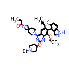 C=CC(=O)N1CC2(CCN(c3nc(OC4CCN(CC)CC4)nc4c(OCC(F)(F)F)c(-c5c(C)ccc6[nH]ncc56)c(/C=C/C)cc34)CC2)C1